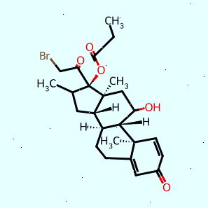 CCC(=O)O[C@]1(C(=O)CBr)C(C)C[C@H]2[C@@H]3CCC4=CC(=O)C=C[C@]4(C)[C@H]3C(O)C[C@@]21C